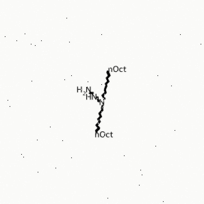 CCCCCCCCC=CCCCCCCCCN(CCCCCCCCC=CCCCCCCCC)CCNCCN